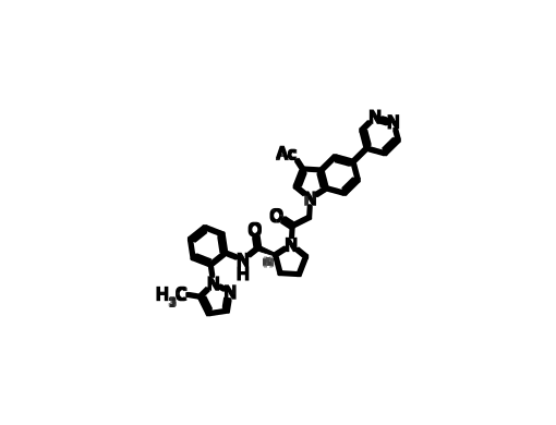 CC(=O)c1cn(CC(=O)N2CCC[C@H]2C(=O)Nc2ccccc2-n2nccc2C)c2ccc(-c3ccnnc3)cc12